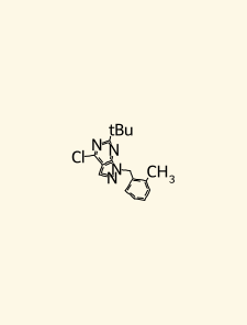 Cc1ccccc1Cn1ncc2c(Cl)nc(C(C)(C)C)nc21